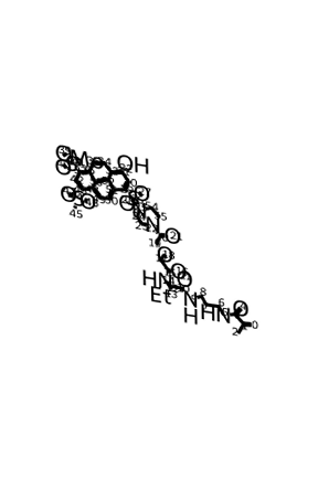 C=C(C)C(=O)NCCCNC(=O)C(CC)NC(=O)COCC(=O)N1CCN(S(=O)(=O)c2cc(O)c3ccc4c([S](=O)(=O)[Mo])cc(S(C)(=O)=O)c5ccc2c3c54)CC1